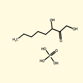 CCCCCC(O)C(=O)CO.O=P(O)(O)O